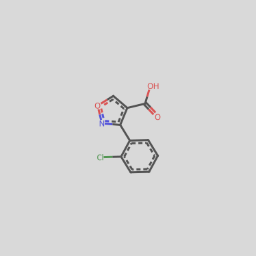 O=C(O)c1conc1-c1ccccc1Cl